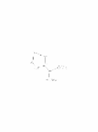 COC(OC)C1CCCO1